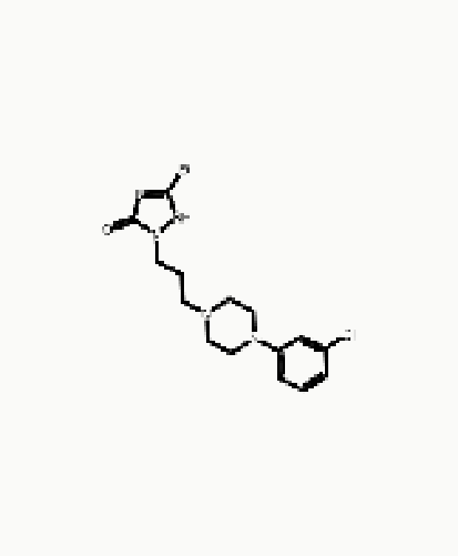 CCc1nc(=O)n(CCCN2CCN(c3cccc(Cl)c3)CC2)[nH]1